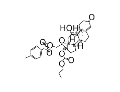 CCCOC(=O)O[C@]1(C(=O)COS(=O)(=O)c2ccc(C)cc2)CC[C@H]2[C@@H]3CCC4=CC(=O)CC[C@]4(C)[C@H]3[C@@H](O)C[C@@]21C